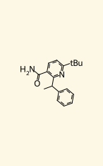 CC(c1ccccc1)c1nc(C(C)(C)C)ccc1C(N)=O